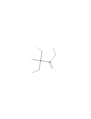 C=C(CC)C(Br)(CC)CC.N